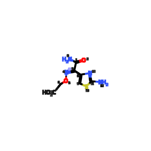 NC(=O)/C(=N/OCC(=O)O)c1csc(N)n1